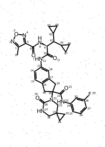 Cc1nonc1C(=O)N[C@H](C(=O)Nc1ccc2c(c1)CC(C(=O)Nc1cccc(F)c1)(N1CC3(CC3)CNC1=O)C2)C(C1CC1)C1CC1